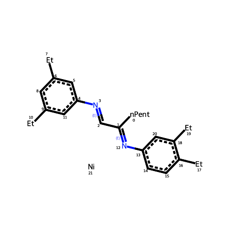 CCCCCC(/C=N/c1cc(CC)cc(CC)c1)=N\c1ccc(CC)c(CC)c1.[Ni]